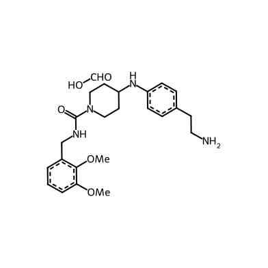 COc1cccc(CNC(=O)N2CCC(Nc3ccc(CCN)cc3)CC2)c1OC.O=CO